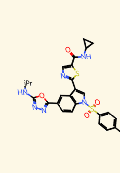 Cc1ccc(S(=O)(=O)n2cc(-c3ncc(C(=O)NC4CC4)s3)c3cc(-c4nnc(NC(C)C)o4)ccc32)cc1